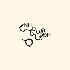 CCC(OC(=O)C1=CCC=CN1)OS(=O)(=O)O.Cc1ccccc1